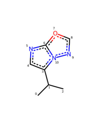 CC(C)c1cnc2ocnn12